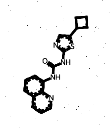 O=C(Nc1ncc(C2CCC2)s1)Nc1cccc2cccnc12